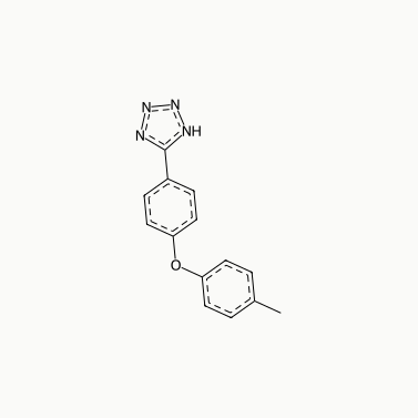 Cc1ccc(Oc2ccc(-c3nnn[nH]3)cc2)cc1